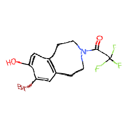 O=C(N1CCc2cc(O)c(Br)cc2CC1)C(F)(F)F